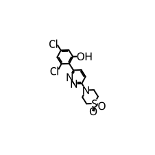 O=S1(=O)CCN(c2ccc(-c3c(O)cc(Cl)cc3Cl)nn2)CC1